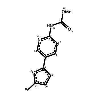 COC(=O)Nc1ncc(-c2ccc(C)o2)cn1